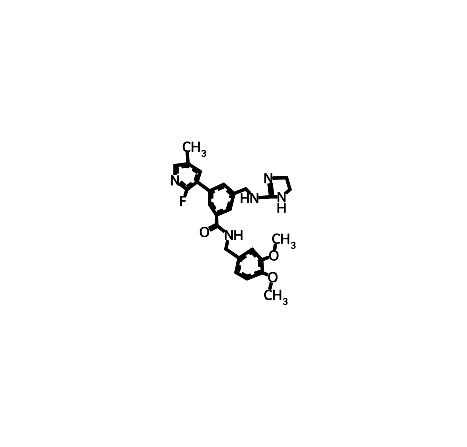 COc1ccc(CNC(=O)c2cc(CNC3=NCCN3)cc(-c3cc(C)cnc3F)c2)cc1OC